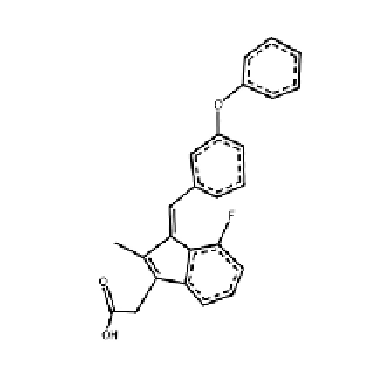 CC1=C(CC(=O)O)c2cccc(F)c2/C1=C\c1cccc(Oc2ccccc2)c1